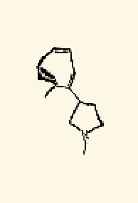 Cc1ccccc1C1CCN(C)C1